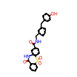 O=C(NCc1cccc(Cc2ccc(O)cc2)c1)c1ccc2c(c1)NC(=O)c1ccccc1S2(=O)=O